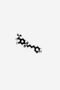 CN(C)C(=O)c1ccc(S(=O)(=O)CCCCC2CCNCC2)cc1Cl